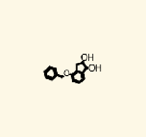 OC1Cc2c(OCc3ccccc3)cccc2C1O